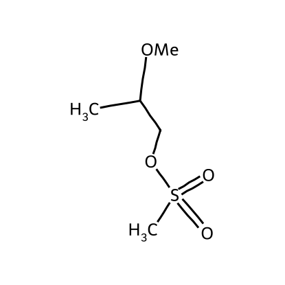 COC(C)COS(C)(=O)=O